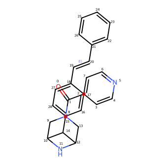 O=C(c1ccncc1)N1CC2NC(C1)C2c1ccc(/C=C/c2ccccc2)cc1